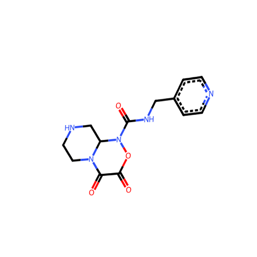 O=C1ON(C(=O)NCc2ccncc2)C2CNCCN2C1=O